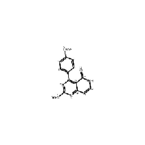 COc1ccc(-c2nc(SC)nc3cc[nH]c(=O)c23)cc1